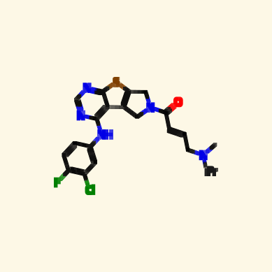 CC(C)N(C)C/C=C/C(=O)N1Cc2sc3ncnc(Nc4ccc(F)c(Cl)c4)c3c2C1